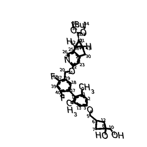 Cc1cc(OCC2CC(O)(CO)C2)cc(C)c1-c1cc(COc2cc3c(cn2)[C@H]2[C@@H](C3)[C@@H]2C(OI)OC(C)(C)C)c(F)cc1F